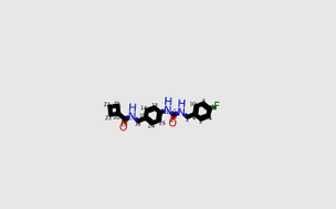 O=C(NCc1ccc(F)cc1)Nc1ccc(CNC(=O)C2CCC2)cc1